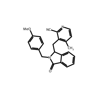 COc1ccc(CN2C(=O)c3ccccc3C2Cc2c(C)ccnc2C#N)cc1